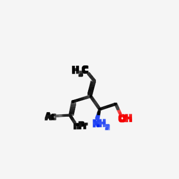 C/C=C(\C=C(/CCC)C(C)=O)[C@H](N)CO